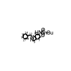 CCCCS(=O)(=O)Nc1ccc2cnn(Cc3ccccc3)c2c1